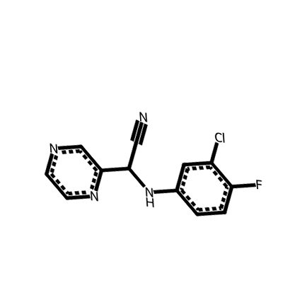 N#CC(Nc1ccc(F)c(Cl)c1)c1cnccn1